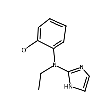 CCN(c1ncc[nH]1)c1ccccc1[O]